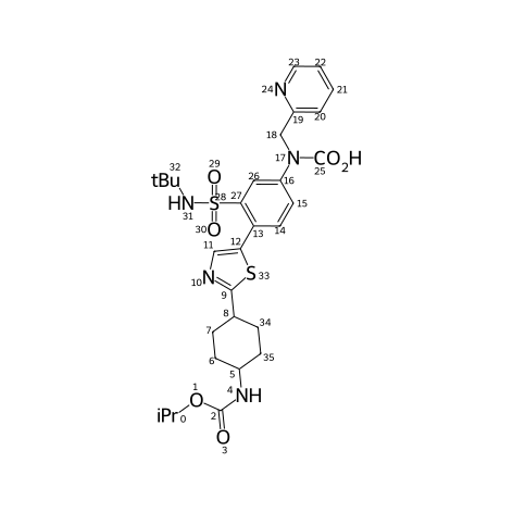 CC(C)OC(=O)NC1CCC(c2ncc(-c3ccc(N(Cc4ccccn4)C(=O)O)cc3S(=O)(=O)NC(C)(C)C)s2)CC1